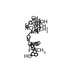 CCc1cccc2cc(O)cc(-c3ncc4c(N5CC6CCC(C5)N6)nc(OCCN5CCC(CC6CN(c7cc(C(C(=O)N8C[C@H](O)C[C@H]8C(=O)NC(C)c8ccc(-c9scnc9C)cc8)C(C)C)on7)C6)CC5)nc4c3F)c12